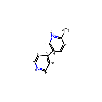 CCc1ccc(-c2ccncc2)cn1